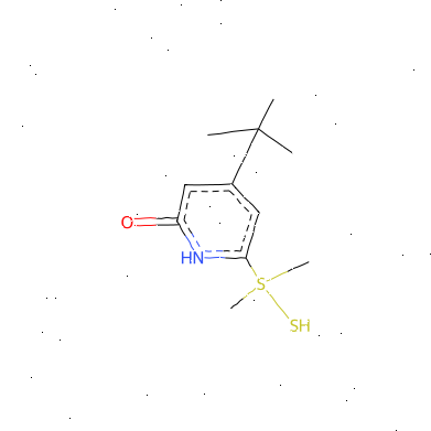 CC(C)(C)c1cc(S(C)(C)S)[nH]c(=O)c1